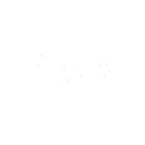 Nc1cc(-c2[nH]c([C@@H]3CCc4cc(-c5cc(Cl)ccc5-n5cnnn5)cc(=O)n43)nc2Cl)ccn1